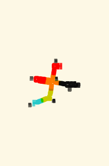 COP(=O)(O)SF